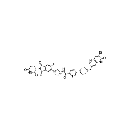 CCc1cc2ncc(CN3CCN(c4ccc(C(=O)N[C@H]5CCN(c6cc7c(cc6F)C(=O)N(C6CCC(=O)NC6=O)C7=O)C5)nc4)CC3)cc2[nH]c1=O